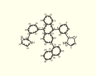 C1=COC(c2cccc(-c3c4ccccc4c(-c4cccc(-c5ncco5)c4)c4ccc(-c5cccc6ccccc56)cc34)c2)N1